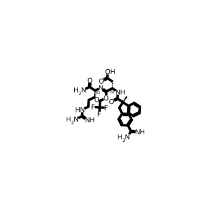 C[C@@](Cc1ccc(C(=N)N)cc1)(C(=O)N[C@@H](CC(=O)O)C(=N[C@@H](CCCNC(=N)N)C(N)=O)OC(=O)C(F)(F)F)c1ccccc1